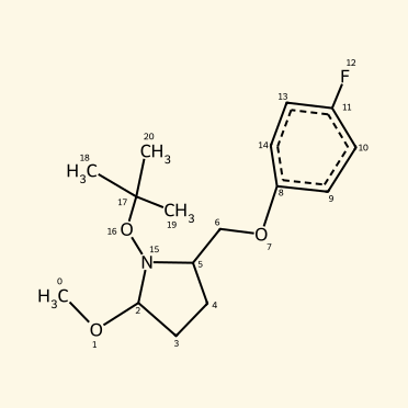 COC1CCC(COc2ccc(F)cc2)N1OC(C)(C)C